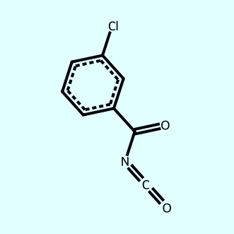 O=C=NC(=O)c1cccc(Cl)c1